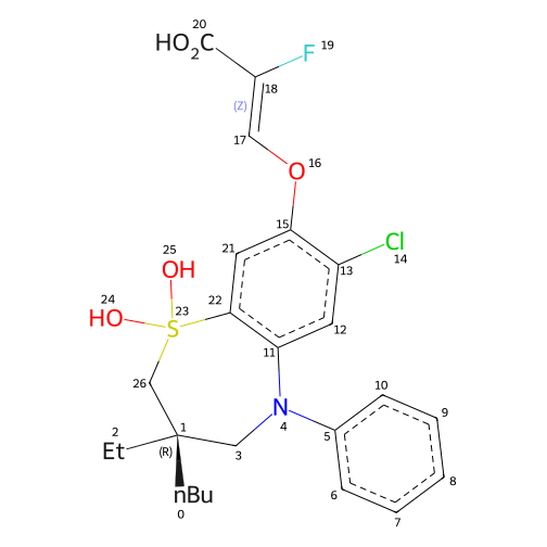 CCCC[C@]1(CC)CN(c2ccccc2)c2cc(Cl)c(O/C=C(\F)C(=O)O)cc2S(O)(O)C1